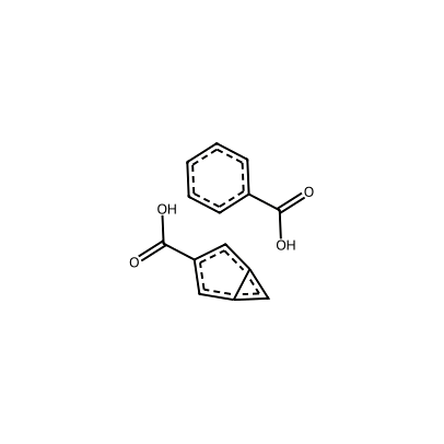 O=C(O)c1cc2cc-2c1.O=C(O)c1ccccc1